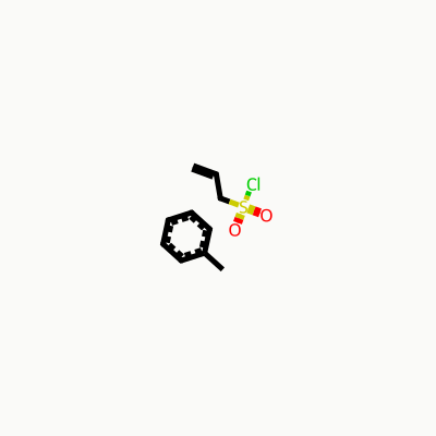 C=CCS(=O)(=O)Cl.Cc1ccccc1